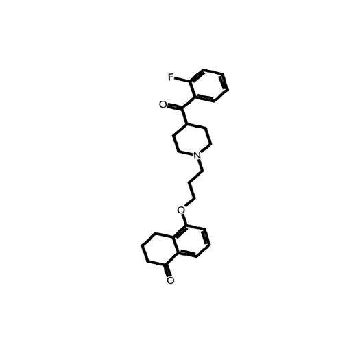 O=C1CCCc2c(OCCCN3CCC(C(=O)c4ccccc4F)CC3)cccc21